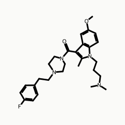 COc1ccc2c(c1)c(C(=O)N1CCN(CCc3ccc(F)cc3)CC1)c(C)n2CCCN(C)C